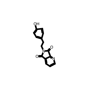 O=C1c2cccnc2C(=O)N1CCc1ccc(O)cc1